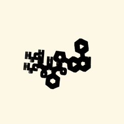 CNC(C)C(=O)N[C@H](C(=O)N1CCCC1c1ccc2ccnc(-c3ccccc3)c2c1)C1CCCCC1